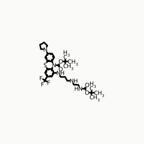 CC(C)(C)OC(=O)NCCNCCCNc1cc(C(F)(F)F)cc2c1N(C(=O)OC(C)(C)C)c1ccc(N3CCCC3)cc1S2